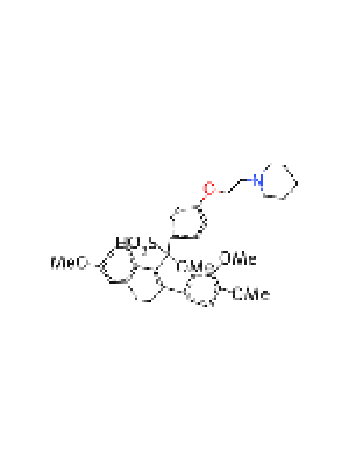 COc1ccc2c(c1)CCC(c1ccc(OC)c(OC)c1)=C2C(OC)(c1ccc(OCCN2CCCCC2)cc1)S(=O)(=O)O